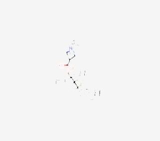 CC(=O)N1CC(C(=O)OCC(C)(C)C(F)(F)C(F)(F)S(=O)(=O)O)C1